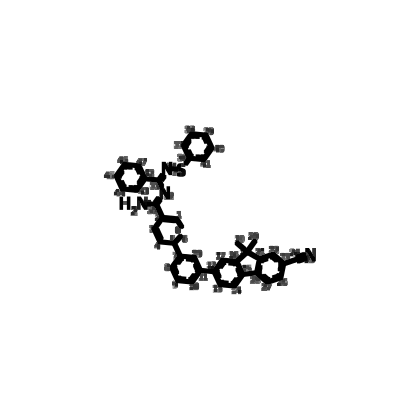 C/C=C(\C=C/C(C)c1cccc(-c2ccc3c(c2)C(C)(C)c2cc(C#N)ccc2-3)c1)C(/N)=N/C(=N\Sc1ccccc1)c1ccccc1